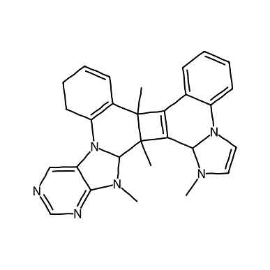 CN1C=CN2c3ccccc3C3=C(C12)C1(C)C2N(C)c4ncncc4N2C2=C(C=CCC2)C31C